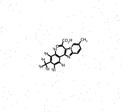 [2H]c1c([2H])c(C([2H])([2H])[2H])c([2H])c([2H])c1-c1nc2ccc(C)cn2c1C(=O)C(=O)O